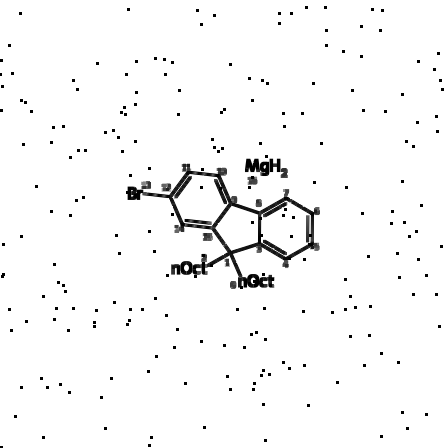 CCCCCCCCC1(CCCCCCCC)c2c[c]ccc2-c2ccc(Br)cc21.[MgH2]